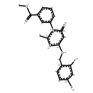 COC(=O)c1cccc(-n2c(C)nc(OCc3ccc(F)cc3F)cc2=O)c1